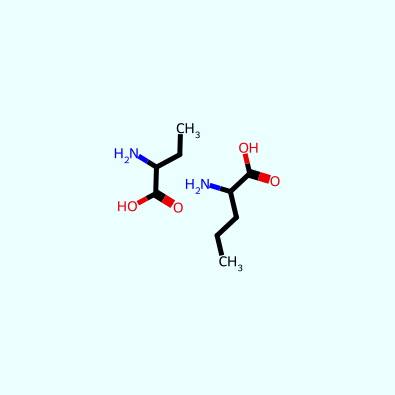 CCC(N)C(=O)O.CCCC(N)C(=O)O